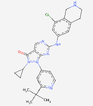 CC(C)(C)c1cc(-n2c3nc(Nc4cc(Cl)c5c(c4)CCNC5)ncc3c(=O)n2C2CC2)ccn1